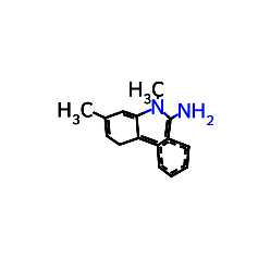 CC1=CCC2=c3ccccc3=C(N)N(C)C2=C1